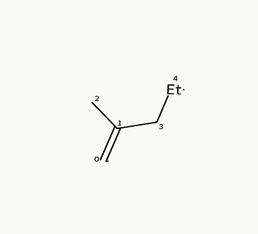 [CH]=C(C)C[CH]C